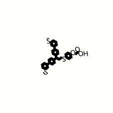 CSc1cccc(-c2ccc(C(=CCSc3ccc(OCC(=O)O)cc3)c3ccc(-c4cccc(SC)c4)cc3)cc2)c1